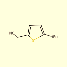 CC(C)(C)c1ccc(CC#N)s1